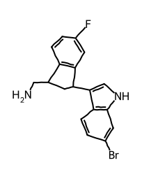 NCC1CC(c2c[nH]c3cc(Br)ccc23)c2cc(F)ccc21